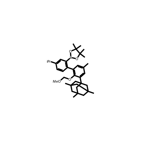 COCOc1c(-c2ccc(C(C)C)cc2B2OC(C)(C)C(C)(C)O2)cc(C)cc1C12CC3(C)CC(C)(CC(C)(C3)C1)C2